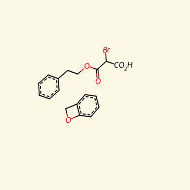 O=C(O)C(Br)C(=O)OCCc1ccccc1.c1ccc2c(c1)CO2